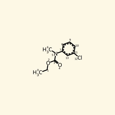 CCOC(=O)N(C)c1cc[c]c(Cl)c1